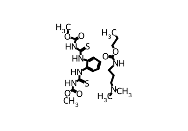 CCCOC(=O)NCCCN(C)C.COC(=O)NC(=S)Nc1ccccc1NC(=S)NC(=O)OC